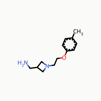 Cc1ccc(OCCN2CC(CN)C2)cc1